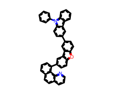 c1ccc(-n2c3ccccc3c3cc(-c4ccc5oc6ccc(-c7cccc8ccc9cccnc9c78)cc6c5c4)ccc32)cc1